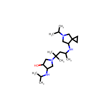 CC(C)NC1CN(C(C)(C)CC(C)NC2CN(C(C)C)CC23CC3)CC1O